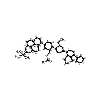 C=Cc1cc(-c2ccc3c4c(cccc24)-c2ccccc2-3)ccc1-c1ccc(-c2ccc3ccc4cc(C(C)(C)C)cc5ccc2c3c45)cc1CCC(=O)O